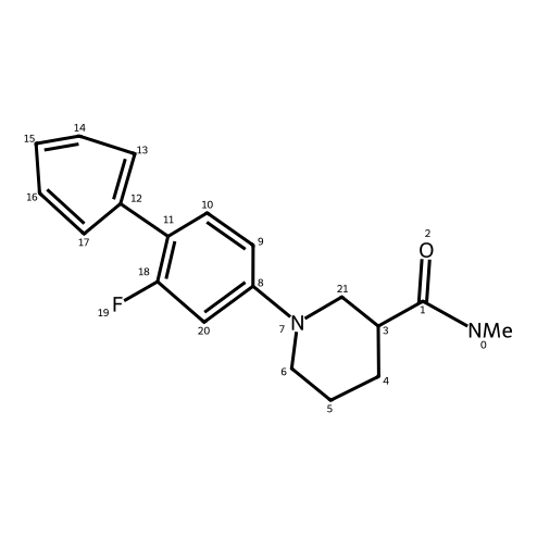 CNC(=O)C1CCCN(c2ccc(-c3ccccc3)c(F)c2)C1